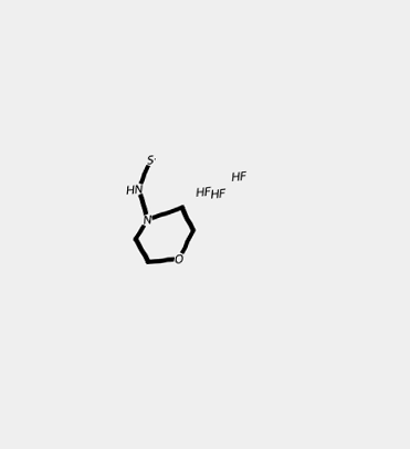 F.F.F.[S]NN1CCOCC1